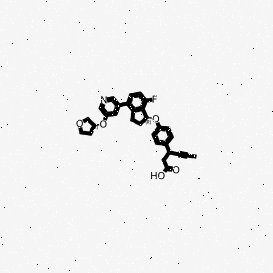 CC#CC(CC(=O)O)c1ccc(O[C@@H]2CCc3c(-c4cncc(O[C@@H]5CCOC5)c4)ccc(F)c32)cc1